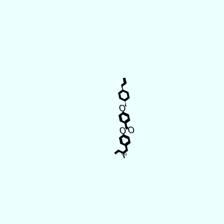 C=CC[C@H]1CC[C@H](COc2ccc(C(=O)Oc3ccc(C[C@@H](C)CC)cc3)cc2)CC1